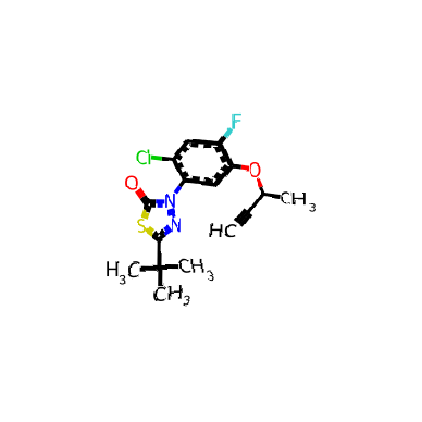 C#CC(C)Oc1cc(-n2nc(C(C)(C)C)sc2=O)c(Cl)cc1F